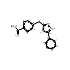 O=C(O)c1ccc(Cc2nnc(-c3ccccc3)o2)cc1